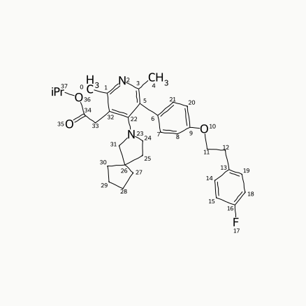 Cc1nc(C)c(-c2ccc(OCCc3ccc(F)cc3)cc2)c(N2CCC3(CCCC3)C2)c1CC(=O)OC(C)C